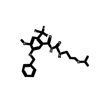 COc1cc(C(F)(F)F)c(C(=O)NC(=O)NCCCOC(C)C)cc1OCc1ccccc1